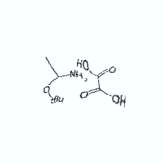 CC(N)OC(C)(C)C.O=C(O)C(=O)O